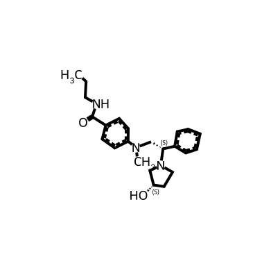 CCCNC(=O)c1ccc(N(C)C[C@H](c2ccccc2)N2CC[C@H](O)C2)cc1